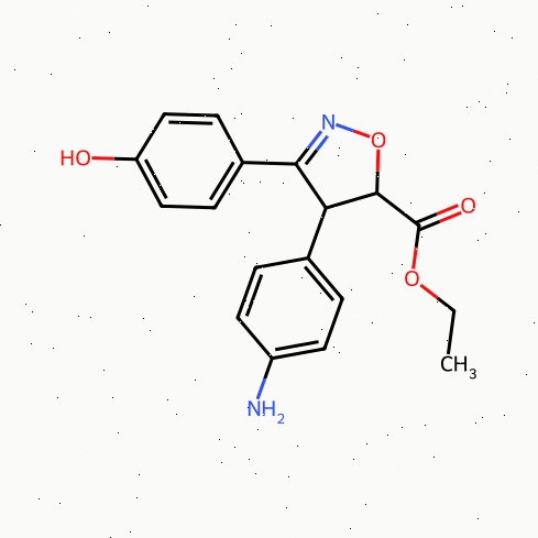 CCOC(=O)C1ON=C(c2ccc(O)cc2)C1c1ccc(N)cc1